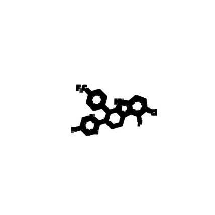 Fc1cnc(N2CCc3c([nH]c4ccc(Cl)c(F)c34)C2c2ccc(C(F)(F)F)cc2)nc1